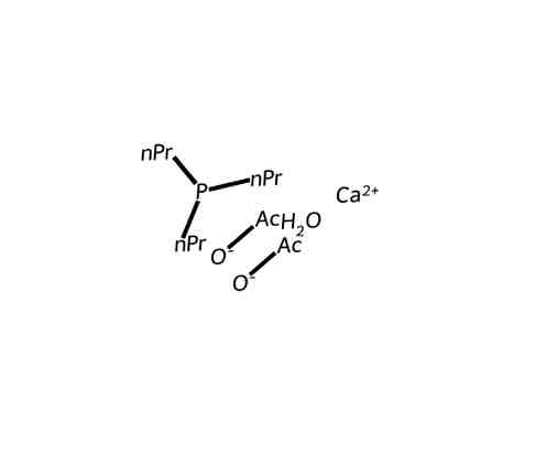 CC(=O)[O-].CC(=O)[O-].CCCP(CCC)CCC.O.[Ca+2]